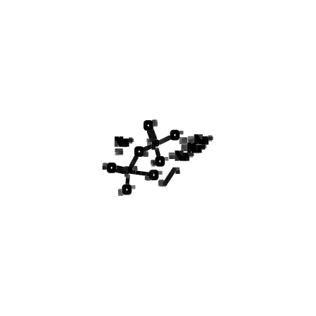 CC.O=P([O-])([O-])OP(=O)([O-])[O-].[Na+].[Na+].[Na+].[Na+]